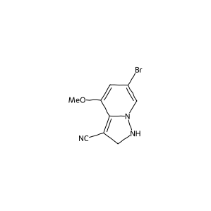 COC1=CC(Br)=CN2NCC(C#N)=C12